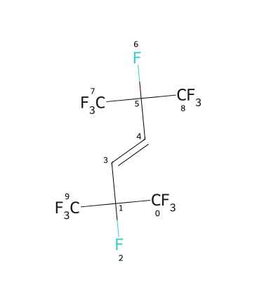 FC(F)(F)C(F)(/C=C/C(F)(C(F)(F)F)C(F)(F)F)C(F)(F)F